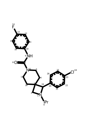 CC(C)N1CC2(CCN(C(=O)Nc3ccc(F)cc3)CC2)C1c1ccc(Cl)cc1